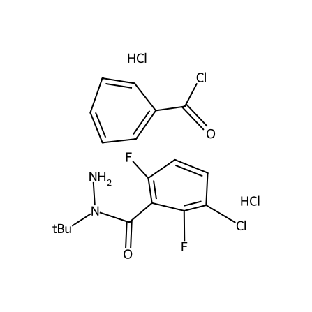 CC(C)(C)N(N)C(=O)c1c(F)ccc(Cl)c1F.Cl.Cl.O=C(Cl)c1ccccc1